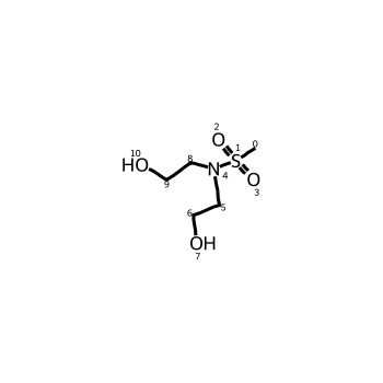 CS(=O)(=O)N(CCO)CCO